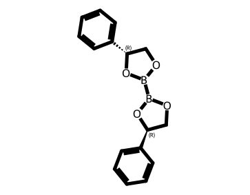 c1ccc([C@@H]2COB(B3OC[C@@H](c4ccccc4)O3)O2)cc1